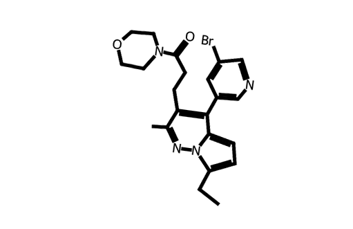 CCc1ccc2c(-c3cncc(Br)c3)c(CCC(=O)N3CCOCC3)c(C)nn12